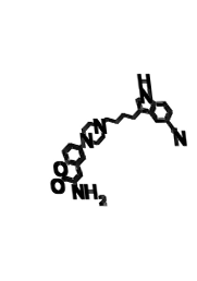 N#Cc1ccc2[nH]cc(CCCCN3CCN(c4ccc5oc(=O)c(N)cc5c4)CC3)c2c1